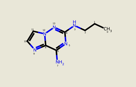 CCCNc1nc(N)c2nccn2n1